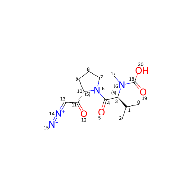 CC(C)[C@@H](C(=O)N1CCC[C@H]1C(=O)C=[N+]=[N-])N(C)C(=O)O